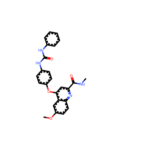 CNC(=O)c1cc(Oc2ccc(NC(=O)Nc3ccccc3)cc2)c2cc(OC)ccc2n1